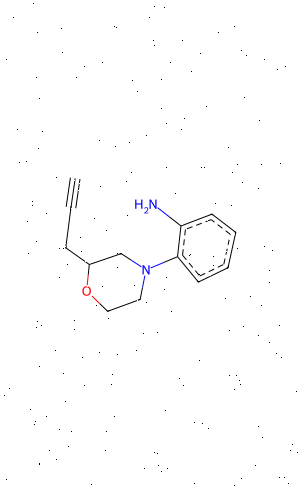 C#CCC1CN(c2ccccc2N)CCO1